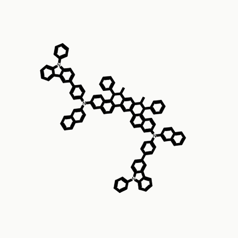 CC1c2cc3c(cc2-c2ccc4cc(N(c5ccc(-c6ccc7c(c6)c6ccccc6n7-c6ccccc6)cc5)c5ccc6ccccc6c5)ccc4c2C1c1ccccc1)-c1ccc2cc(N(c4ccc(-c5ccc6c(c5)c5ccccc5n6-c5ccccc5)cc4)c4ccc5ccccc5c4)ccc2c1C(c1ccccc1)C3C